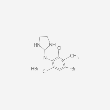 Br.Cc1c(Br)cc(Cl)c(N=C2NCCN2)c1Cl